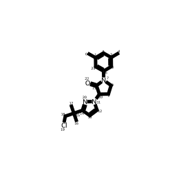 Cc1cc(C)cc(N2CCC(n3ccc(C(C)(C)CCl)n3)C2=O)c1